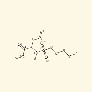 C=CCC(C(=O)OC)N(C)S(=O)(=O)CCCCC